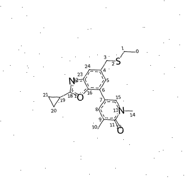 CCSCc1cc(-c2cc(C)c(=O)n(C)c2)c2oc(C3CC3)nc2c1